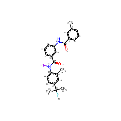 N#Cc1cccc(C(=O)Nc2cccc(C(=O)N(I)c3ccc(C(F)(C(F)(F)F)C(F)(F)F)cc3C(F)(F)F)c2)c1